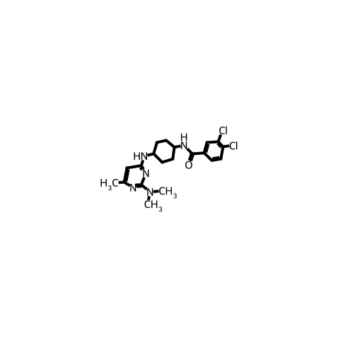 Cc1cc(NC2CCC(NC(=O)c3ccc(Cl)c(Cl)c3)CC2)nc(N(C)C)n1